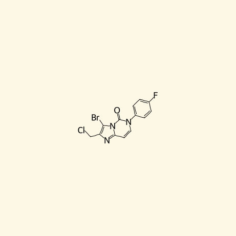 O=c1n(-c2ccc(F)cc2)ccc2nc(CCl)c(Br)n12